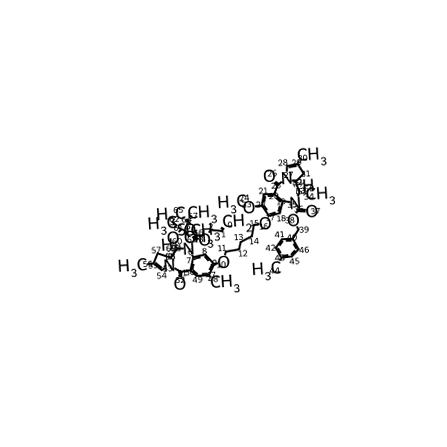 C=CCOC(=O)N1c2cc(OCCCCCOc3cc4c(cc3OC)C(=O)N3C=C(C)C[C@H]3[C@H](C)N4C(=O)OCc3ccc(C)cc3)c(C)cc2C(=O)N2C=C(C)C[C@H]2[C@@H]1O[Si](C)(C)C(C)(C)C